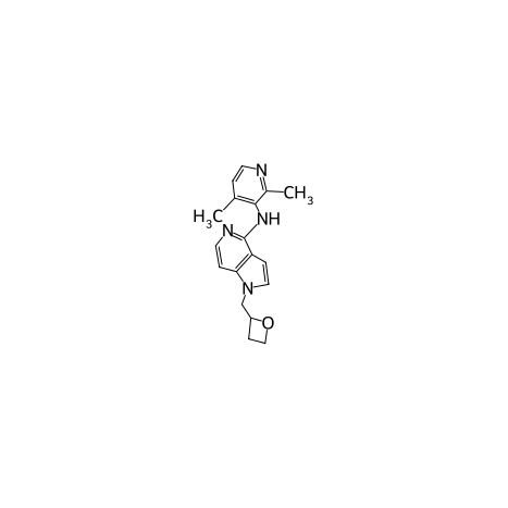 Cc1ccnc(C)c1Nc1nccc2c1ccn2CC1CCO1